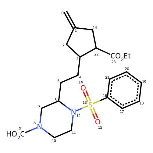 C=C1CC(CCC2CN(C(=O)O)CCN2S(=O)(=O)c2ccccc2)C(C(=O)OCC)C1